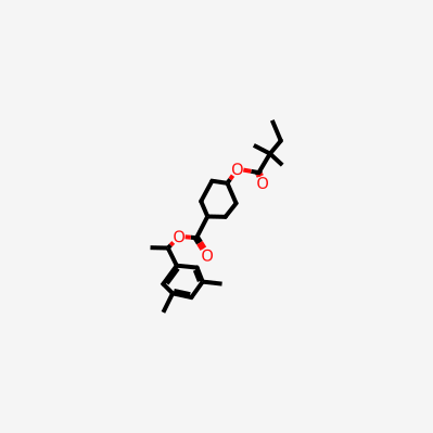 CCC(C)(C)C(=O)OC1CCC(C(=O)OC(C)c2cc(C)cc(C)c2)CC1